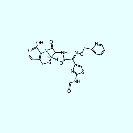 C=CC1=C(C(=O)O)N2C(=O)C(NC(=O)C(=NOCc3ccccn3)c3csc(NC=O)n3)[C@@H]2SC1